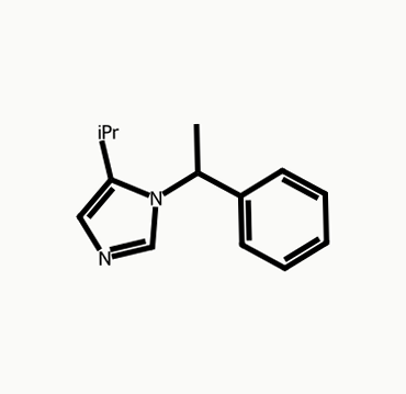 CC(C)c1cncn1C(C)c1ccccc1